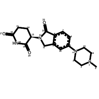 CN1CCN(c2ccc3c(c2)CN([C@@H]2CCC(=O)NC2=O)C3=O)CC1